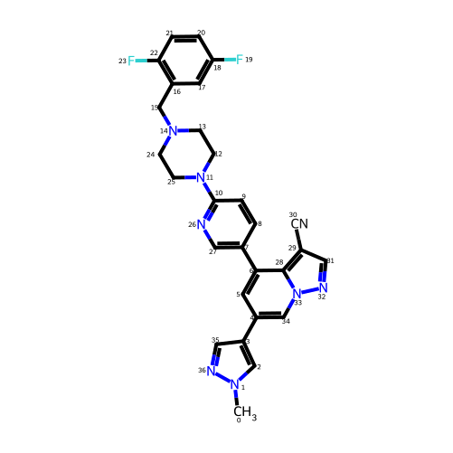 Cn1cc(-c2cc(-c3ccc(N4CCN(Cc5cc(F)ccc5F)CC4)nc3)c3c(C#N)cnn3c2)cn1